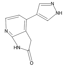 O=C1Cc2c(-c3cn[nH]c3)ccnc2N1